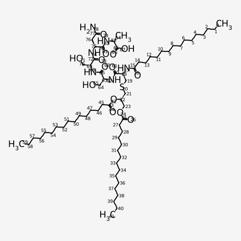 CCCCCCCCCCCCCCCC(=O)N[C@@H](CSC[C@@H](COC(=O)CCCCCCCCCCCCCCC)OC(=O)CCCCCCCCCCCCCCC)C(=O)N[C@@H](CO)C(=O)N[C@@H](CO)C(=O)N[C@@H](CC(N)=O)C(=O)N[C@@H](C)C(=O)O